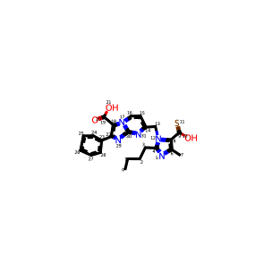 CCCCc1nc(C)c(C(O)=S)n1Cc1ccn2c(C(=O)O)c(-c3ccccc3)nc2n1